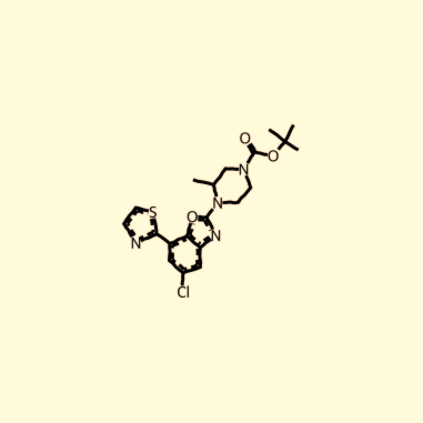 CC1CN(C(=O)OC(C)(C)C)CCN1c1nc2cc(Cl)cc(-c3nccs3)c2o1